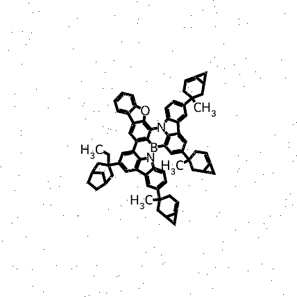 CCC1(c2cc3c4c(c2)c2cc(C5(C)CC=C6CC6C5)ccc2n4B2c4c-3cc3c(oc5ccccc53)c4-n3c4ccc(C5(C)CC=C6CC6C5)cc4c4cc(C5(C)CC=C6CC6C5)cc2c43)CC2CCC(C2)C1